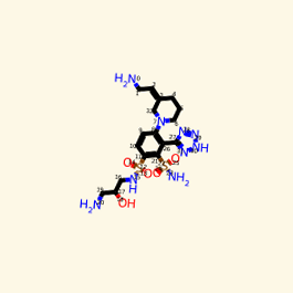 NC/C=C1/CCCN(c2ccc(S(=O)(=O)NCC(O)CN)c(S(N)(=O)=O)c2-c2nn[nH]n2)C1